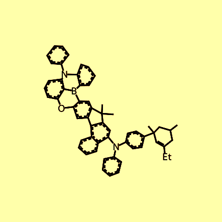 CCC1=CC(C)(c2ccc(N(c3ccccc3)c3cc4c(c5ccccc35)-c3cc5c(cc3C4(C)C)B3c4ccccc4N(c4ccccc4)c4cccc(c43)O5)cc2)CC(C)C1